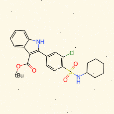 CC(C)(C)OC(=O)c1c(-c2ccc(S(=O)(=O)NC3CCCCC3)c(Cl)c2)[nH]c2ccccc12